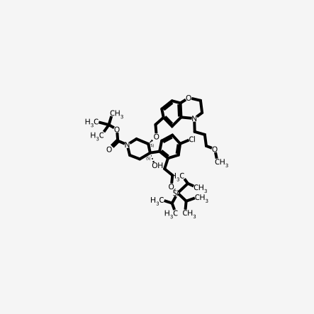 COCCCN1CCOc2ccc(CO[C@H]3CN(C(=O)OC(C)(C)C)CC[C@]3(O)c3ccc(Cl)cc3CCO[Si](C(C)C)(C(C)C)C(C)C)cc21